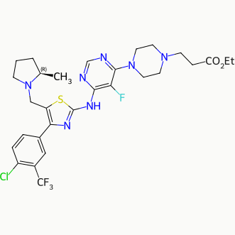 CCOC(=O)CCN1CCN(c2ncnc(Nc3nc(-c4ccc(Cl)c(C(F)(F)F)c4)c(CN4CCC[C@H]4C)s3)c2F)CC1